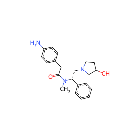 CN(C(=O)Cc1ccc(N)cc1)[C@H](CN1CCC(O)C1)c1ccccc1